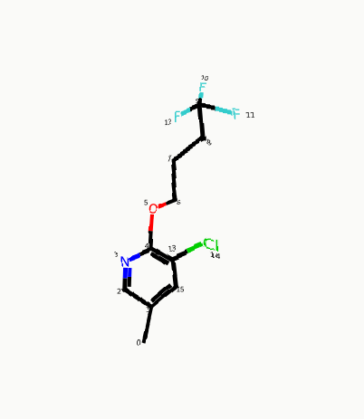 Cc1cnc(OCCCC(F)(F)F)c(Cl)c1